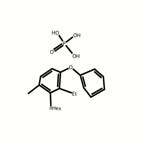 CCCCCCc1c(C)ccc(Oc2ccccc2)c1CC.O=P(O)(O)O